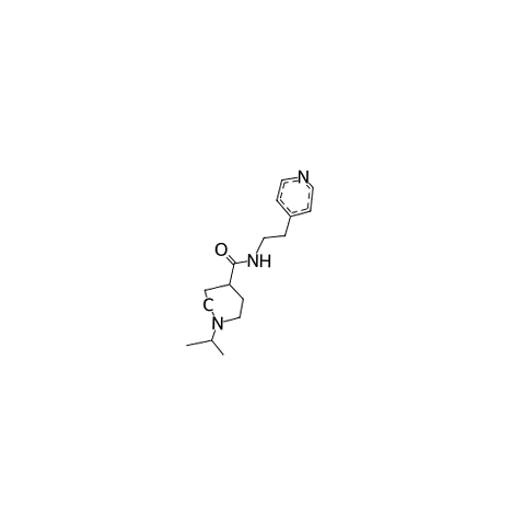 CC(C)N1CCC(C(=O)NCCc2ccncc2)CC1